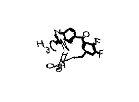 Cc1cnc2ccc(C(=O)c3cc(CCCN[SH](=O)=O)cc(F)c3F)cc2n1